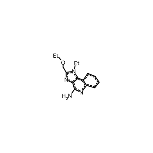 CCOCc1nc2c(N)nc3ccccc3c2n1CC